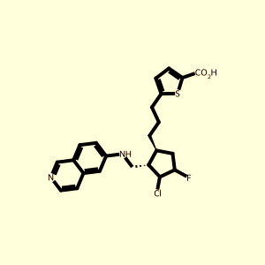 O=C(O)c1ccc(CCC[C@H]2CC(F)C(Cl)[C@@H]2CNc2ccc3cnccc3c2)s1